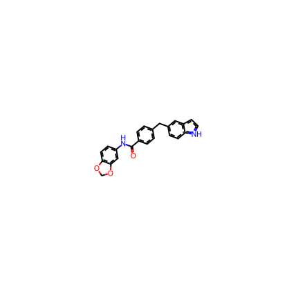 O=C(Nc1ccc2c(c1)OCO2)c1ccc(Cc2ccc3[nH]ccc3c2)cc1